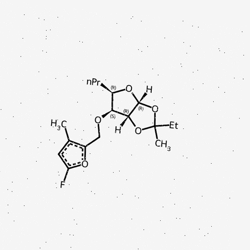 CCC[C@H]1O[C@@H]2OC(C)(CC)O[C@@H]2[C@H]1OCc1oc(F)cc1C